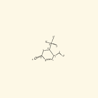 CCC1C=CC(=O)CC1C(C)(C)C